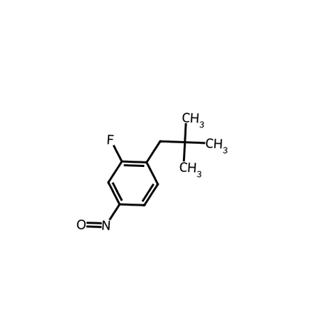 CC(C)(C)Cc1ccc(N=O)cc1F